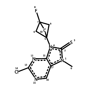 Cn1c(=S)n(C23CC(F)(C2)C3)c2nc(Cl)ncc21